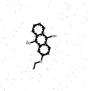 CCOc1ccc2c(O)c3ccccc3c(O)c2c1